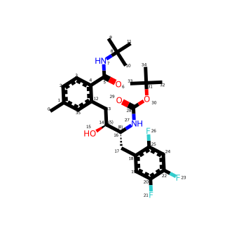 Cc1ccc(C(=O)NC(C)(C)C)c(C[C@H](O)[C@@H](Cc2cc(F)c(F)cc2F)NC(=O)OC(C)(C)C)c1